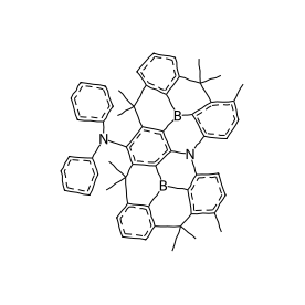 Cc1ccc2c3c1C(C)(C)c1cccc4c1B3c1c3c5c(c(N(c6ccccc6)c6ccccc6)c1C4(C)C)C(C)(C)c1cccc4c1B5c1c(ccc(C)c1C4(C)C)N23